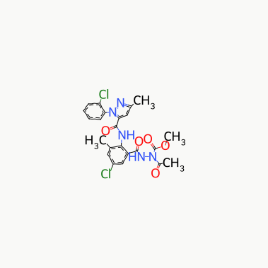 COC(=O)N(NC(=O)c1cc(Cl)cc(C)c1NC(=O)c1cc(C)nn1-c1ccccc1Cl)C(C)=O